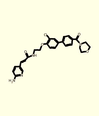 Nc1ccc(C=CC(=O)NCCOc2ccc(-c3ccc(C(=O)N4CCOCC4)cc3)cc2Cl)cn1